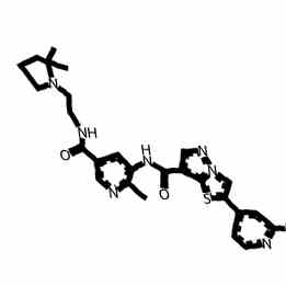 Cc1ncc(C(=O)NCCN2CCCC2(C)C)cc1NC(=O)c1cnn2cc(-c3ccnc(N(C)C)c3)sc12